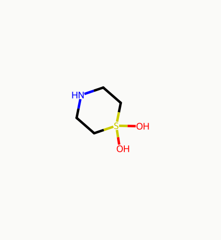 OS1(O)CCNCC1